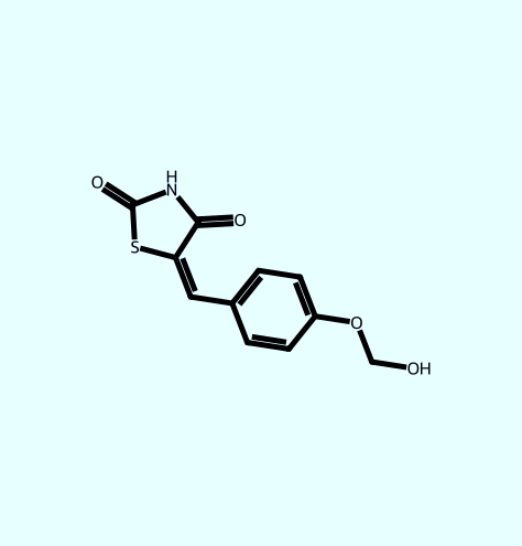 O=C1NC(=O)/C(=C\c2ccc(OCO)cc2)S1